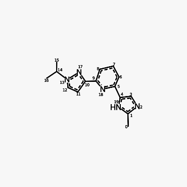 Cc1ncc(-c2cccc(-c3ccn(C(C)C)n3)n2)[nH]1